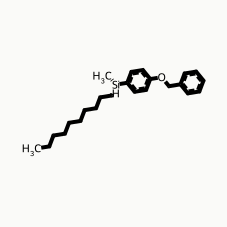 CCCCCCCCCC[SiH](C)c1ccc(OCc2ccccc2)cc1